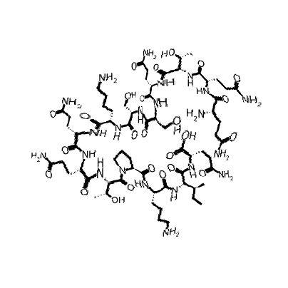 CC[C@H](C)[C@H](NC(=O)[C@H](CCCCN)NC(=O)[C@@H]1CCCN1C(=O)[C@@H](NC(=O)[C@H](CCC(N)=O)NC(=O)[C@H](CCC(N)=O)NC(=O)[C@H](CCCCN)NC(=O)[C@H](CO)NC(=O)[C@H](CO)NC(=O)[C@H](CCC(N)=O)NC(=O)[C@@H](NC(=O)[C@H](CCC(N)=O)NC(=O)[C@@H](N)CCC(N)=O)[C@@H](C)O)[C@@H](C)O)C(=O)N[C@@H](CCC(N)=O)C(=O)O